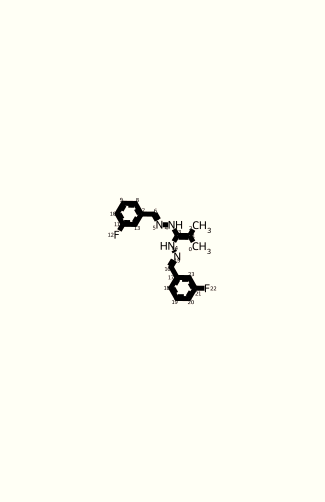 CC(C)=C(N/N=C/c1cccc(F)c1)N/N=C/c1cccc(F)c1